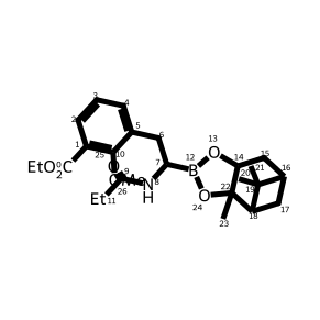 CCOC(=O)c1cccc(CC(NC(=O)CC)B2OC3CC4CC(C4(C)C)C3(C)O2)c1OC